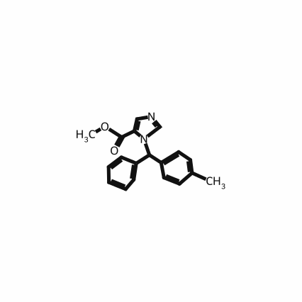 COC(=O)c1cncn1C(c1ccccc1)c1ccc(C)cc1